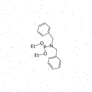 CCOP(OCC)N(Cc1ccccc1)Cc1ccccc1